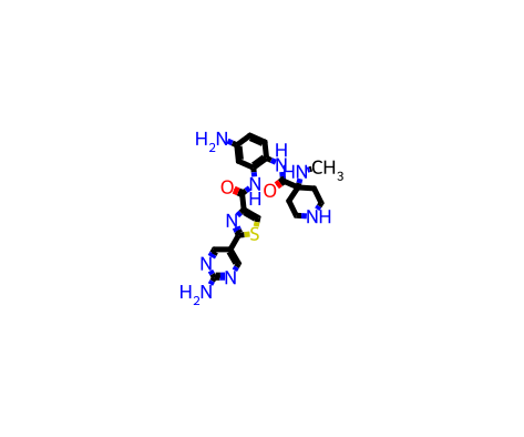 CNC1(C(=O)Nc2ccc(N)cc2NC(=O)c2csc(-c3cnc(N)nc3)n2)CCNCC1